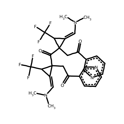 CN(C)C=C1C(C(F)(F)F)C1(CC(=O)c1cccnc1)C(=O)C1(CC(=O)c2cccnc2)C(=CN(C)C)C1C(F)(F)F